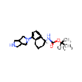 CC(C)(C)OC(=O)N[C@@H]1CCCc2c1cccc2N1CC2CNCC2C1